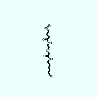 CC(C)CCCCCNC(=O)COCCNC(=O)CCCNC(C)C